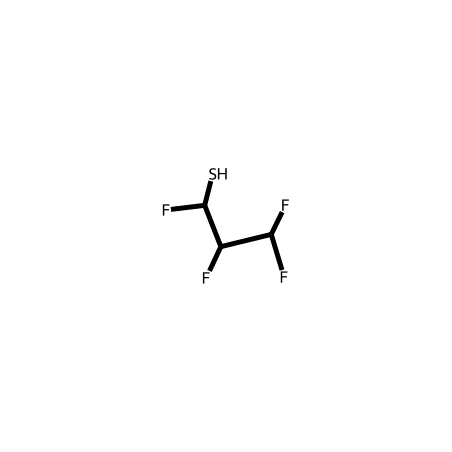 FC(F)C(F)C(F)S